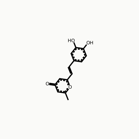 Cc1cc(=O)cc(/C=C/c2ccc(O)c(O)c2)o1